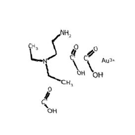 CCN(CC)CCN.O=[C-]O.O=[C-]O.O=[C-]O.[Au+3]